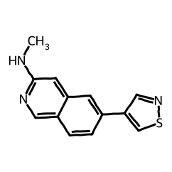 CNc1cc2cc(-c3cnsc3)ccc2cn1